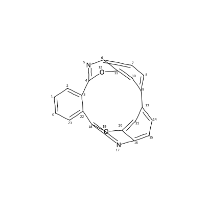 c1ccc2c3nc4ccc(cc4o3)c3ccc4nc(oc4c3)c2c1